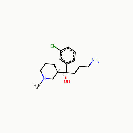 BN1CCC[C@@H]([C@@](O)(CCCN)c2cccc(Cl)c2)C1